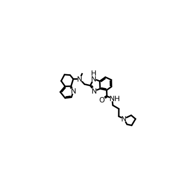 CN(Cc1nc2c(C(=O)NCCCN3CCCC3)cccc2[nH]1)C1CCCc2cccnc21